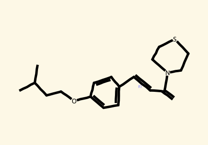 C=C(/C=C/c1ccc(OCCC(C)C)cc1)N1CCSCC1